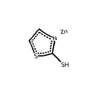 Sc1nccs1.[Zn]